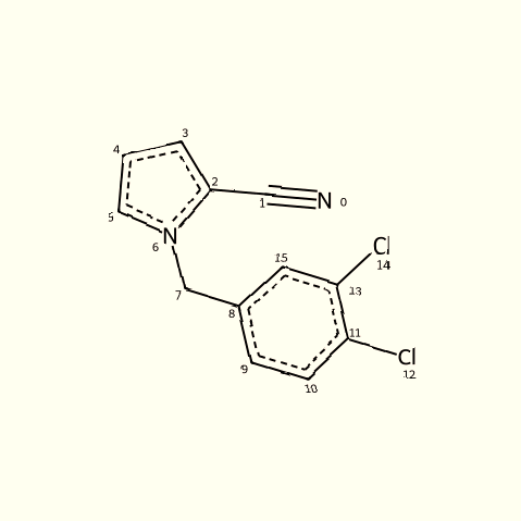 N#Cc1cccn1Cc1ccc(Cl)c(Cl)c1